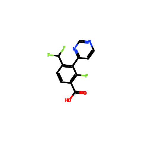 O=C(O)c1ccc(C(F)F)c(-c2ccncn2)c1F